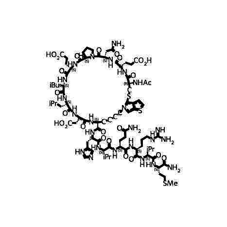 CC[C@H](C)[C@@H]1NC(=O)[C@H](CCC(=O)O)NC(=O)[C@@H]2CCCN2C(=O)[C@H](CC(N)=O)NC(=O)[C@H](CCC(=O)O)NC(=O)[C@@H](NC(C)=O)CSc2c3ccsc3cn2CCCC[C@@H](C(=O)N[C@@H](Cc2cnc[nH]2)C(=O)N[C@H](C(=O)N[C@@H](CCC(N)=O)C(=O)N[C@@H](CCCNC(=N)N)C(=O)N[C@H](C(=O)N[C@@H](CCSC)C(N)=O)C(C)C)C(C)C)NC(=O)[C@H](CC(=O)O)NC(=O)[C@H](CC(C)C)NC1=O